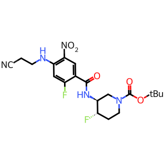 CC(C)(C)OC(=O)N1CC[C@H](F)[C@@H](NC(=O)c2cc([N+](=O)[O-])c(NCCC#N)cc2F)C1